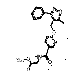 Cc1onc(-c2ccccc2)c1COc1ccc(C(=O)NCC(=O)OC(C)(C)C)cn1